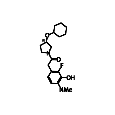 CNc1ccc(CC(=O)N2CC[C@@H](OC3CCCCC3)C2)c(F)c1O